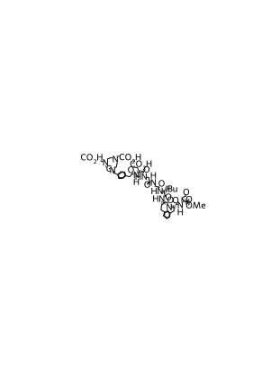 CC[C@H](C)[C@H](NC(=O)CNC(=O)CNC(=O)[C@H](CCC(=O)O)NC(=O)Cc1ccc(CN2CCN(CC(=O)O)CCN(CC(=O)O)CC2)cc1)C(=O)N[C@H]1CCc2cccc3c2N(C1=O)[C@H](C(=O)N[C@H]1CC(=O)O[C@H]1OC)C3